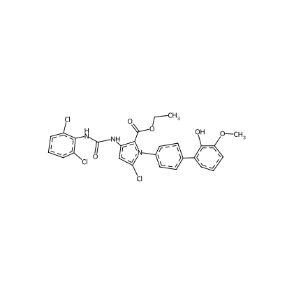 CCOC(=O)c1c(NC(=O)Nc2c(Cl)cccc2Cl)cc(Cl)n1-c1ccc(-c2cccc(OC)c2O)cc1